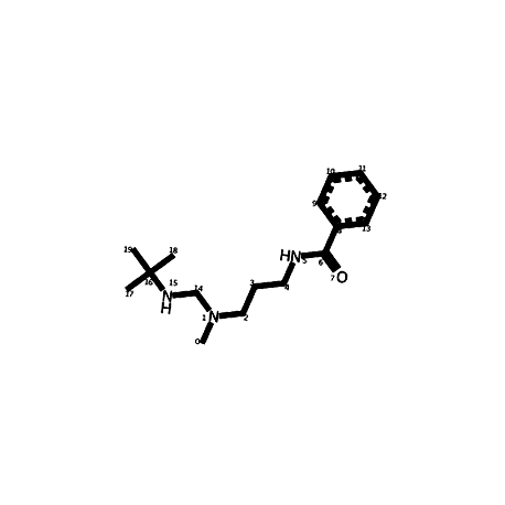 CN(CCCNC(=O)c1ccccc1)CNC(C)(C)C